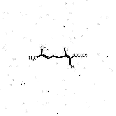 CCOC(=O)/C(C)=C(\CC)CCC=C(C)C